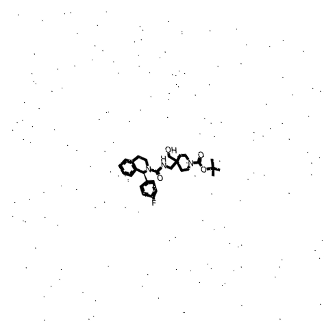 CC(C)(C)OC(=O)N1CCC(CO)(CNC(=O)N2CCc3ccccc3[C@@H]2c2ccc(F)cc2)CC1